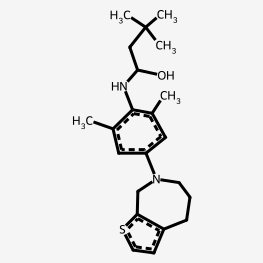 Cc1cc(N2CCCc3ccsc3C2)cc(C)c1NC(O)CC(C)(C)C